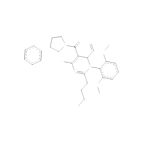 CCCCC1=NC(O)=C(C(=O)N2CC[C@@H](c3ccccc3)C2)C(C=O)N1c1c(OC)cccc1OC